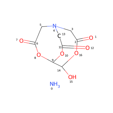 N.O=C1CN2CC(=O)OC(OC(=O)C2)C(O)O1